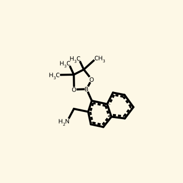 CC1(C)OB(c2c(CN)ccc3ccccc23)OC1(C)C